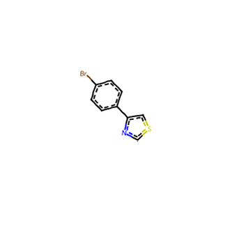 Brc1ccc(-c2cs[c]n2)cc1